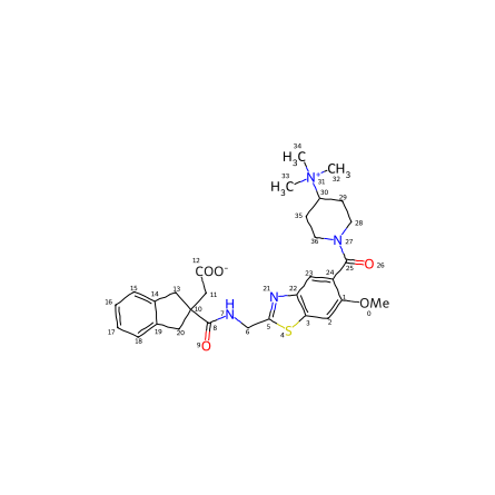 COc1cc2sc(CNC(=O)C3(CC(=O)[O-])Cc4ccccc4C3)nc2cc1C(=O)N1CCC([N+](C)(C)C)CC1